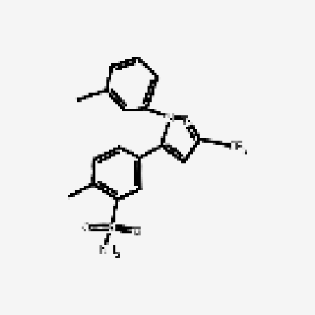 Cc1cccc(-n2nc(C(F)(F)F)cc2-c2ccc(C)c(S(N)(=O)=O)c2)c1